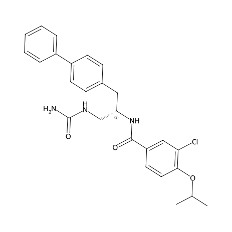 CC(C)Oc1ccc(C(=O)N[C@H](CNC(N)=O)Cc2ccc(-c3ccccc3)cc2)cc1Cl